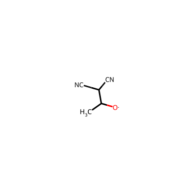 CC([O])C(C#N)C#N